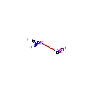 CN1C(=O)CCC(N2C(=O)c3cccc(NCCOCCOCCOCCOCCNC(=O)c4ccc5c(c4)c4cn(C)nc4n5-c4ccc(C(F)(F)F)cc4)c3C2=O)C1=O